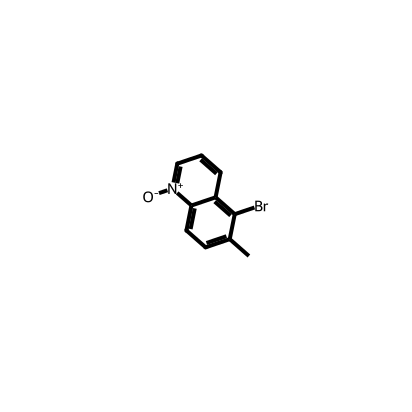 Cc1ccc2c(ccc[n+]2[O-])c1Br